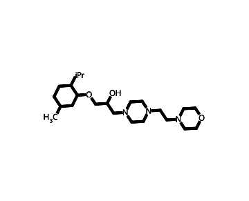 CC1CCC(C(C)C)C(OCC(O)CN2CCN(CCN3CCOCC3)CC2)C1